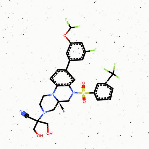 N#CC(CO)(CO)N1CCN2c3ccc(-c4cc(F)cc(OC(F)F)c4)cc3N(S(=O)(=O)c3cccc(C(F)(F)F)c3)C[C@@H]2C1